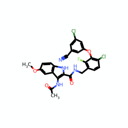 COc1ccc2[nH]c(C(=O)NCc3ccc(Cl)c(Oc4cc(Cl)cc(C#N)c4)c3F)c(NC(C)=O)c2c1